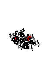 CC(C)(C)c1ccc(N2c3cc(N4c5ccc(C(C)(C)C)cc5C5(c6ccccc6)CCCCC45C)ccc3B3c4cc5c(cc4N(c4ccc(C(C)(C)C)cc4-c4ccccc4)c4cc(C(C)(C)C)cc2c43)C(C)(C)CCC5(C)C)cc1